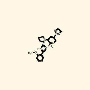 COc1ccccc1-c1cnc([C@@H]2CCCN2c2cc(-n3nccn3)ccc2C)[nH]1